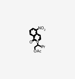 CC(=O)OCC(C(C)C)n1ccc2c([N+](=O)[O-])cccc2c1=O